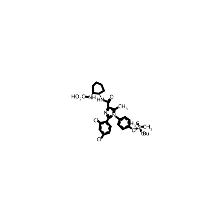 Cc1c(C(=O)N[C@H]2CCCC[C@H]2NC(=O)O)nc(-c2ccc(Cl)cc2Cl)n1-c1ccc(O[Si](C)(C)C(C)(C)C)cc1